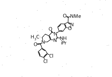 CNC(=O)c1noc2cc(-n3c(NC(C)C)nc4c(c3=O)C[C@@H](C)N(C(=O)c3ccc(Cl)c(Cl)c3)C4)ccc12